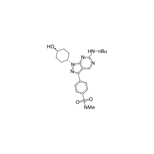 CCCCNc1ncc2c(-c3ccc(S(=O)(=O)NC)cc3)nn([C@H]3CC[C@H](O)CC3)c2n1